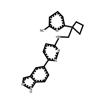 N#Cc1cccc(C2(CNc3ccc(-c4ccc5[nH]ncc5c4)nn3)CCC2)n1